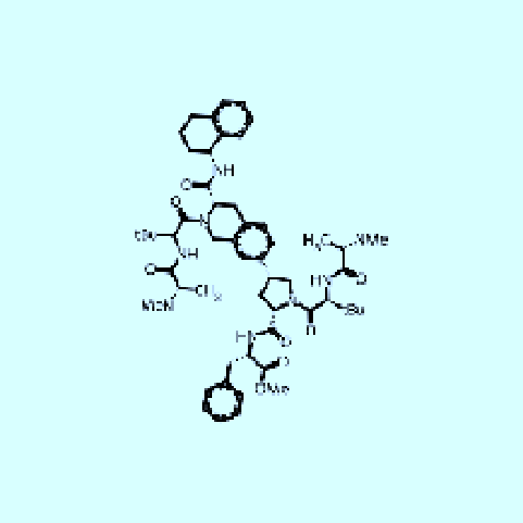 CN[C@@H](C)C(=O)N[C@H](C(=O)N1C[C@@H](c2ccc3c(c2)CN(C(=O)[C@@H](NC(=O)[C@H](C)NC)C(C)(C)C)[C@H](C(=O)N[C@@H]2CCCc4ccccc42)C3)C[C@H]1C(=O)N[C@@H](Cc1ccccc1)C(=O)OC)C(C)(C)C